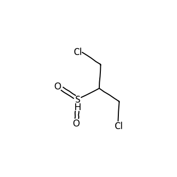 O=[SH](=O)C(CCl)CCl